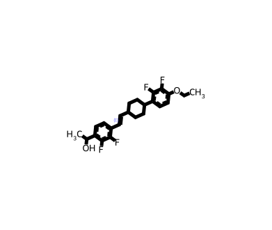 CCOc1ccc(C2CCC(/C=C/c3ccc(C(C)O)c(F)c3F)CC2)c(F)c1F